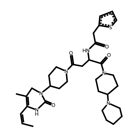 C/C=C\C1=C(C)CN(C2CCN(C(=O)CC(NC(=O)Cc3cccs3)C(=O)N3CCC(N4CCCCC4)CC3)CC2)C(=O)N1